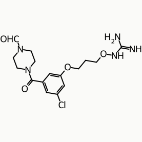 N=C(N)NOCCCOc1cc(Cl)cc(C(=O)N2CCN(C=O)CC2)c1